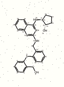 OCc1ccccc1Sc1ccccc1CNc1nc(N[C@H]2CCC[C@@H]2O)c2ccccc2n1